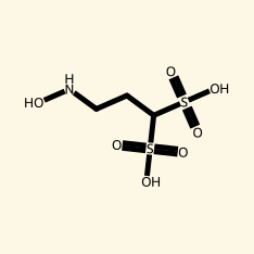 O=S(=O)(O)C(CCNO)S(=O)(=O)O